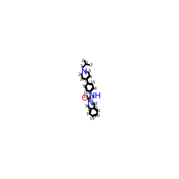 CC(C)CN1CC=C(c2ccc(NC(=O)N3Cc4ccccc4C3)cc2)CC1